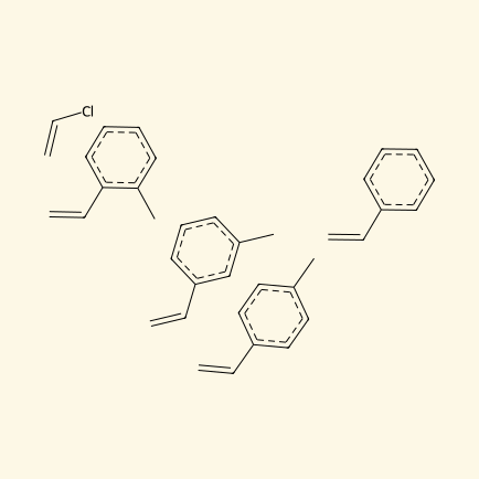 C=CCl.C=Cc1ccc(C)cc1.C=Cc1cccc(C)c1.C=Cc1ccccc1.C=Cc1ccccc1C